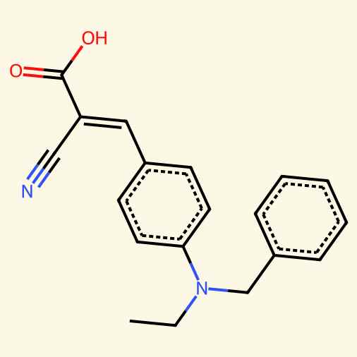 CCN(Cc1ccccc1)c1ccc(/C=C(\C#N)C(=O)O)cc1